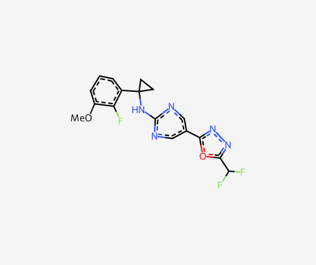 COc1cccc(C2(Nc3ncc(-c4nnc(C(F)F)o4)cn3)CC2)c1F